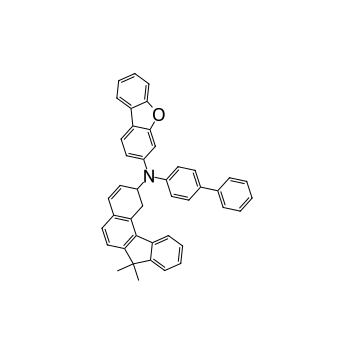 CC1(C)c2ccccc2-c2c1ccc1c2CC(N(c2ccc(-c3ccccc3)cc2)c2ccc3c(c2)oc2ccccc23)C=C1